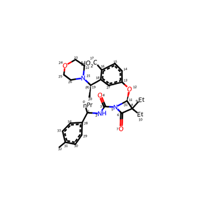 CCCC(NC(=O)N1C(=O)C(CC)(CC)[C@@H]1Oc1ccc(C(=O)O)c([C@@H](C)N2CCOCC2)c1)c1ccc(C)cc1